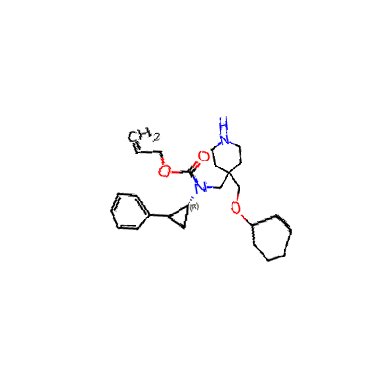 C=CCOC(=O)N(CC1(COC2CCCCC2)CCNCC1)[C@@H]1CC1c1ccccc1